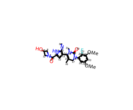 C=Nc1[nH]c(C(=O)N2CC(O)C2)cc1C1=C(C)CN(c2cc(OC)cc(OC)c2F)C(=O)N1C